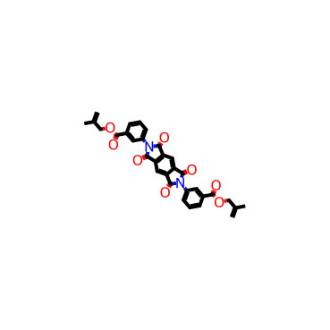 C=C(C)COC(=O)c1cccc(-n2c(=O)c3cc4c(=O)n(-c5cccc(C(=O)OCC(=C)C)c5)c(=O)c4cc3c2=O)c1